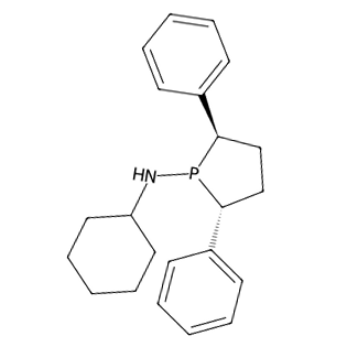 c1ccc([C@H]2CC[C@H](c3ccccc3)P2NC2CCCCC2)cc1